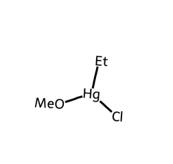 C[CH2][Hg]([Cl])[O]C